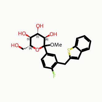 COC1(c2ccc(F)c(Cc3cc4ccccc4s3)c2)O[C@H](CO)[C@@H](O)[C@H](O)[C@H]1O